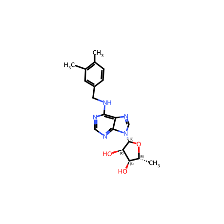 Cc1ccc(CNc2ncnc3c2ncn3[C@@H]2O[C@H](C)[C@@H](O)[C@H]2O)cc1C